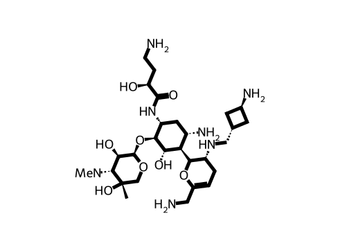 CN[C@@H]1[C@@H](O)[C@@H](O[C@@H]2[C@@H](O)[C@H](C3OC(CN)=CC[C@H]3NC[C@H]3C[C@H](N)C3)[C@@H](N)C[C@H]2NC(=O)[C@@H](O)CCN)OC[C@]1(C)O